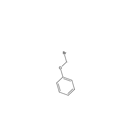 Br[CH]Oc1ccccc1